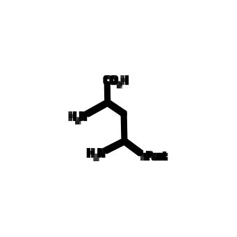 CCCCCC(N)CC(N)C(=O)O